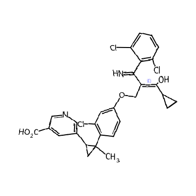 CC1(c2ccc(OC/C(C(=N)c3c(Cl)cccc3Cl)=C(/O)C3CC3)cc2Cl)CC1c1cncc(C(=O)O)c1